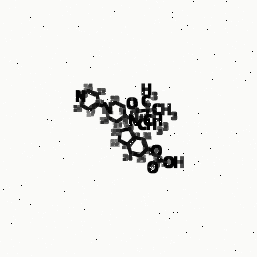 CC(C)(C)C(=O)[N+](C)(C1CCN(c2ccncc2)CC1)[C@@H]1CCc2ccc(OC(=O)O)cc21